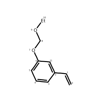 C=Cc1cccc(OCOCC)c1